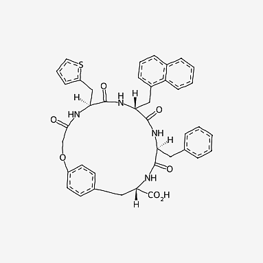 O=C1COc2ccc(cc2)C[C@@H](C(=O)O)NC(=O)[C@H](Cc2ccccc2)NC(=O)[C@@H](Cc2cccc3ccccc23)NC(=O)[C@H](Cc2cccs2)N1